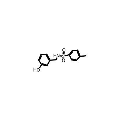 Cc1ccc(S(=O)(=O)NCc2cccc(O)c2)cc1